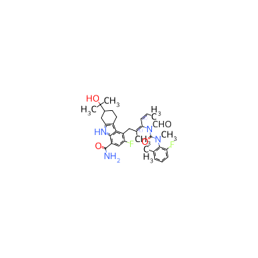 C/C=C\C(=C(\C)Cc1c(F)cc(C(N)=O)c2[nH]c3c(c12)CCC(C(C)(C)O)C3)N(C=O)C(=O)N(C)c1c(C)cccc1F